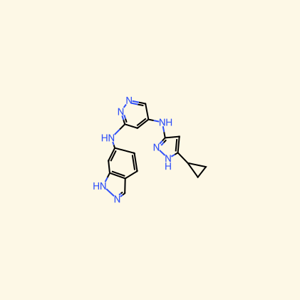 c1cc2cn[nH]c2cc1Nc1cc(Nc2cc(C3CC3)[nH]n2)cnn1